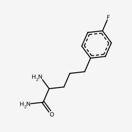 NC(=O)C(N)CCCc1ccc(F)cc1